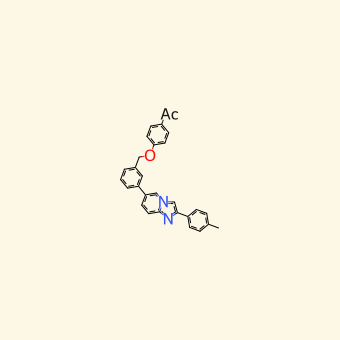 CC(=O)c1ccc(OCc2cccc(-c3ccc4nc(-c5ccc(C)cc5)cn4c3)c2)cc1